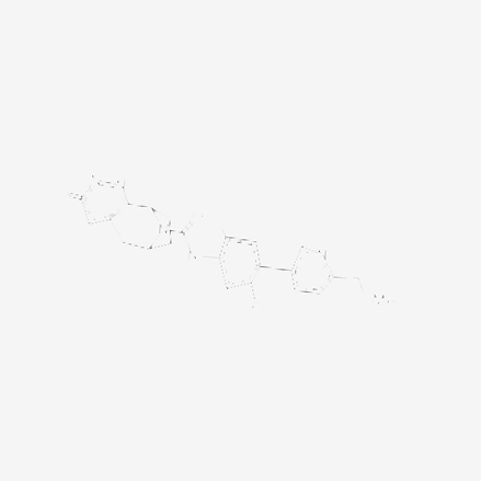 COCc1ccc(-c2cc(F)c(NC(=O)N3[C@H]4CC[C@@H]3c3n[nH]c(=O)cc3C4)cc2Cl)cn1